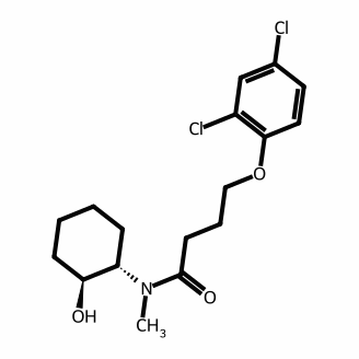 CN(C(=O)CCCOc1ccc(Cl)cc1Cl)[C@H]1CCCC[C@@H]1O